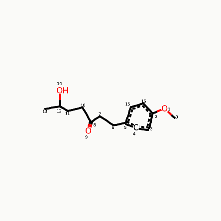 COc1ccc(CCC(=O)CCC(C)O)cc1